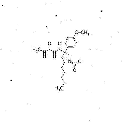 CCCCCCCC(CN=S(=O)=O)(C(=O)NC(=O)NC)c1ccc(OC)cc1